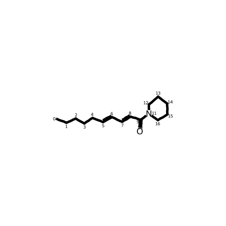 CCCCC/C=C/C=C/C(=O)N1CCCCC1